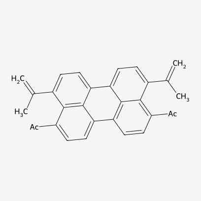 C=C(C)c1ccc2c3ccc(C(=C)C)c4c(C(C)=O)ccc(c5ccc(C(C)=O)c1c25)c43